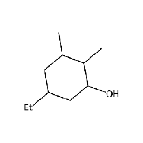 CCC1CC(C)C(C)C(O)C1